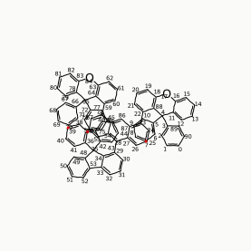 c1ccc(C2(c3ccccc3)c3ccccc3Oc3cccc(-c4cccc5c(-c6cccc7c6C(c6ccccc6)(c6ccccc6)c6ccccc6-7)c6cccc(-c7cccc8c7C(c7ccccc7)(c7ccccc7)c7ccccc7O8)c6cc45)c32)cc1